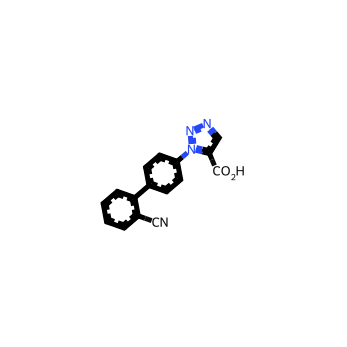 N#Cc1ccccc1-c1ccc(-n2nncc2C(=O)O)cc1